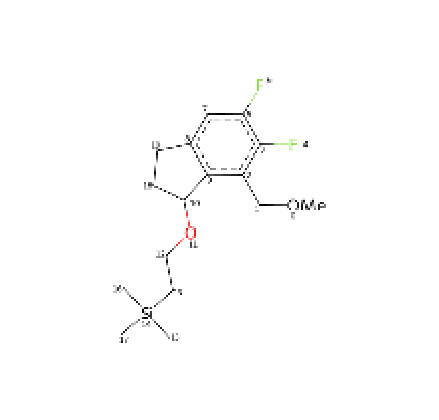 COCc1c(F)c(F)cc2c1C(OCC[Si](C)(C)C)CC2